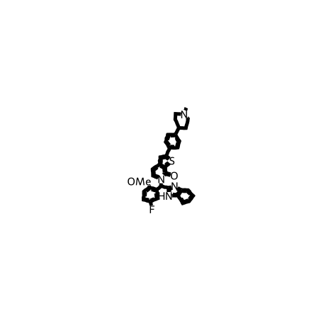 COc1ccc(F)cc1C(c1nc2ccccc2[nH]1)n1ccc2cc(-c3ccc(C4CCN(C)CC4)cc3)sc2c1=O